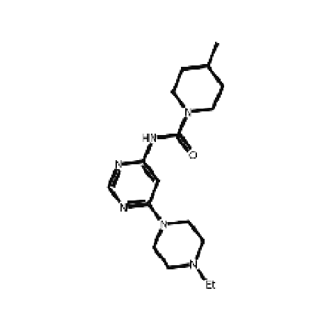 CCN1CCN(c2cc(NC(=O)N3CCC(C)CC3)ncn2)CC1